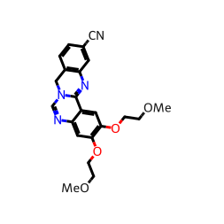 COCCOc1cc2c(cc1OCCOC)C1=Nc3cc(C#N)ccc3CN1C=N2